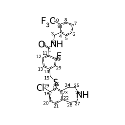 O=C(NCc1ccccc1C(F)(F)F)c1ccc(CSc2c(Cl)ccc3c2CCNCC3)cc1F